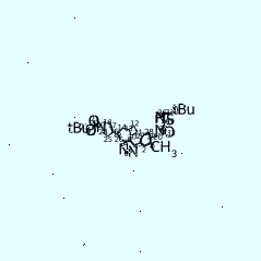 Cc1cc(-c2ncnc3c2C2CCC2CC(C2=CCN(C(=O)OC(C)(C)C)CC2)=C3)ccc1CNC(=O)c1ncc(C(C)(C)C)s1